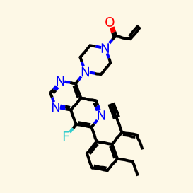 C#C/C(=C/C)c1c(CC)cccc1-c1ncc2c(N3CCN(C(=O)C=C)CC3)ncnc2c1F